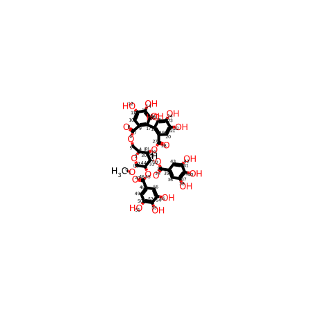 CO[C@@H]1OC2COC(=O)c3cc(O)c(O)c(O)c3-c3c(cc(O)c(O)c3O)C(=O)O[C@H]2[C@H](OC(=O)c2cc(O)c(O)c(O)c2)C1OC(=O)c1cc(O)c(O)c(O)c1